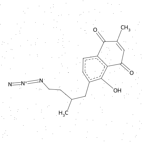 CC1=CC(=O)c2c(ccc(CC(C)CCN=[N+]=[N-])c2O)C1=O